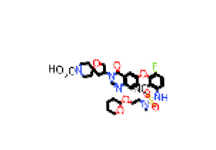 CN(CCOC1CCCCO1)S(=O)(=O)Nc1ccc(F)c(Oc2ccc3ncn(C4COC5(CCN(C(=O)O)CC5)C4)c(=O)c3c2)c1C#N